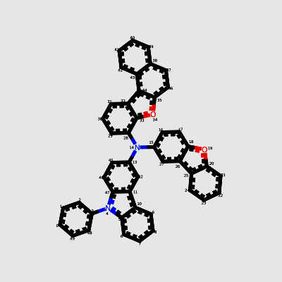 c1ccc(-n2c3ccccc3c3cc(N(c4ccc5oc6ccccc6c5c4)c4cccc5c4oc4ccc6ccccc6c45)ccc32)cc1